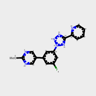 COc1ncc(-c2cc(F)cc(-n3nnc(-c4ccccn4)n3)c2)cn1